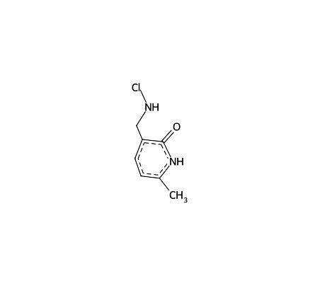 Cc1ccc(CNCl)c(=O)[nH]1